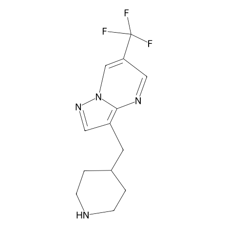 FC(F)(F)c1cnc2c(CC3CCNCC3)cnn2c1